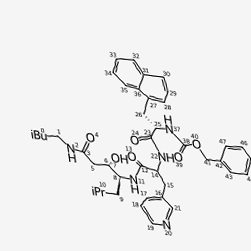 CCC(C)CNC(=O)C[C@H](O)[C@H](CC(C)C)NC(=O)C(Cc1cccnc1)NC(=O)[C@H](Cc1cccc2ccccc12)NC(=O)OCc1ccccc1